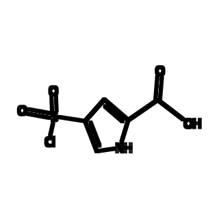 O=C(O)c1cc(S(=O)(=O)Cl)c[nH]1